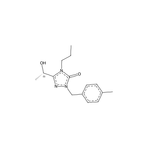 CCCn1c([C@H](C)O)nn(Cc2ccc(C)cc2)c1=O